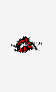 CN[C@H](CSCC1O[C@@H]2O[C@H]3CC(O)[C@H](OC3CO)O[C@@H]3C(CO)O[C@H](O[C@@H]4C(CO)O[C@H](O[C@@H]5C(CSC[C@@H](CC(=O)CCOCCOCCC(C)=O)C(=O)O)C[C@H](C[C@@H]6C(CO)O[C@H](O[C@@H]7C(CO)O[C@H](O[C@H]1[C@H](O)C2O)C(O)[C@H]7O)C(O)[C@H]6O)C(O)[C@H]5O)C(O)[C@H]4O)C(O)[C@H]3O)C(=O)O